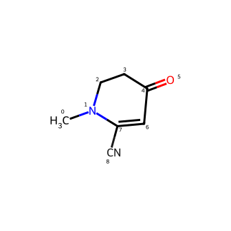 CN1CCC(=O)C=C1C#N